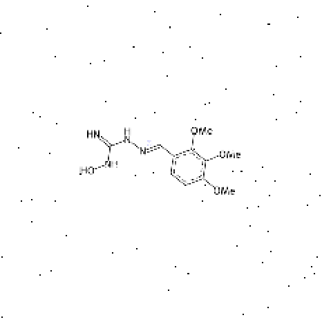 COc1ccc(/C=N/NC(=N)NO)c(OC)c1OC